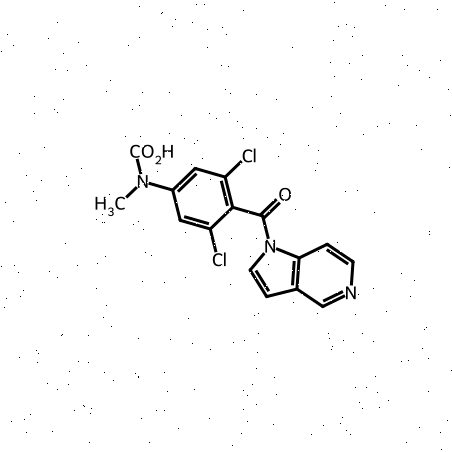 CN(C(=O)O)c1cc(Cl)c(C(=O)n2ccc3cnccc32)c(Cl)c1